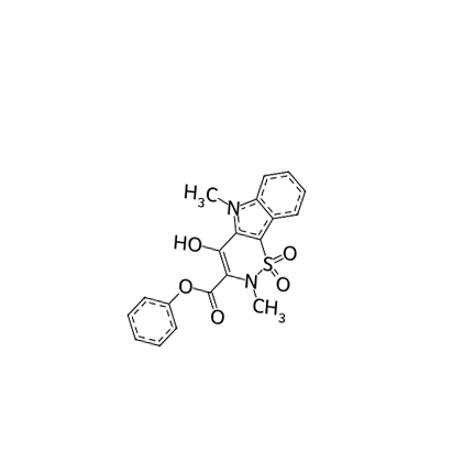 CN1C(C(=O)Oc2ccccc2)=C(O)c2c(c3ccccc3n2C)S1(=O)=O